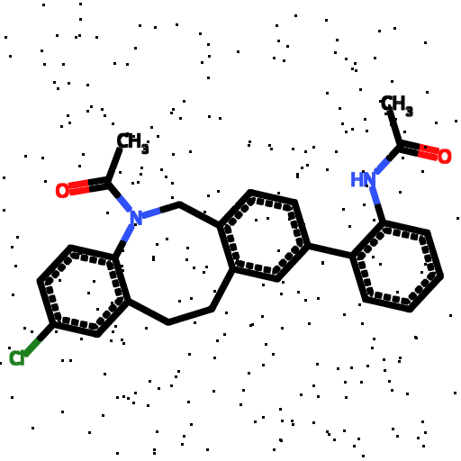 CC(=O)Nc1ccccc1-c1ccc2c(c1)CCc1cc(Cl)ccc1N(C(C)=O)C2